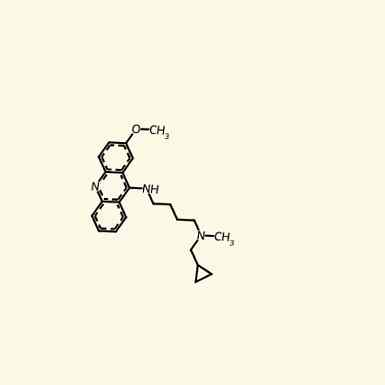 COc1ccc2nc3ccccc3c(NCCCCN(C)CC3CC3)c2c1